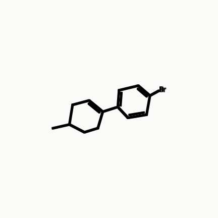 CC1CC=C(c2ccc(Br)cc2)CC1